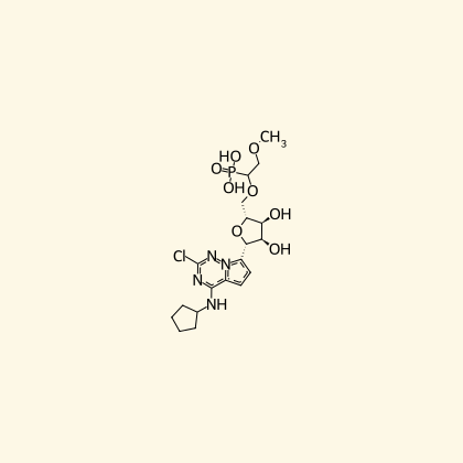 COCC(OC[C@H]1O[C@@H](c2ccc3c(NC4CCCC4)nc(Cl)nn23)[C@H](O)[C@@H]1O)P(=O)(O)O